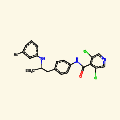 CCOC(=O)C(Cc1ccc(NC(=O)c2c(Cl)cncc2Cl)cc1)Nc1cccc(C(C)=O)c1